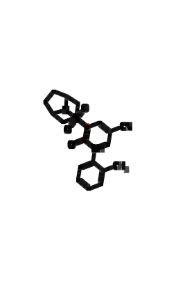 Cc1ccccc1NC(=O)CN1CC2CCC(C1)N2S(=O)(=O)c1cccc(C#N)c1